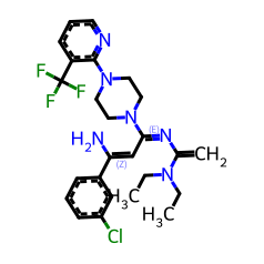 C=C(/N=C(\C=C(/N)c1cccc(Cl)c1)N1CCN(c2ncccc2C(F)(F)F)CC1)N(CC)CC